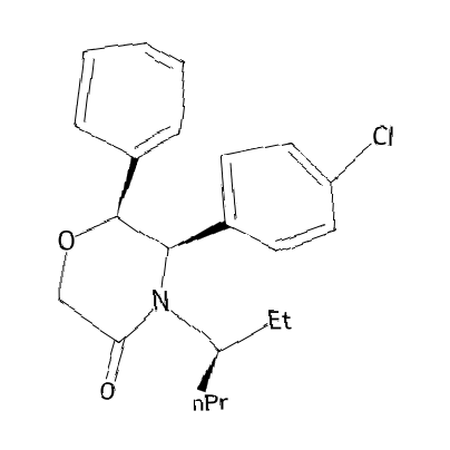 CCC[C@H](CC)N1C(=O)CO[C@@H](c2ccccc2)[C@H]1c1ccc(Cl)cc1